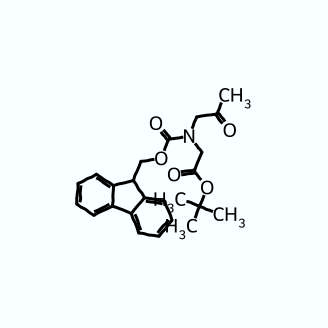 CC(=O)CN(CC(=O)OC(C)(C)C)C(=O)OCC1c2ccccc2-c2ccccc21